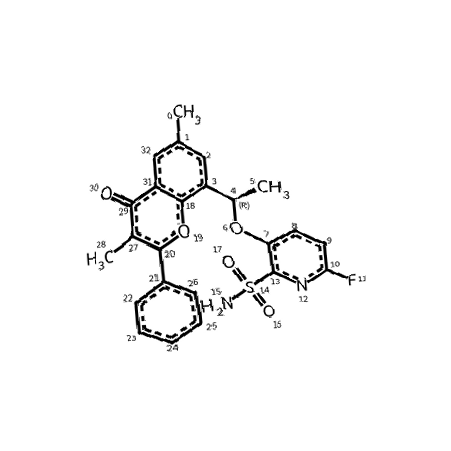 Cc1cc([C@@H](C)Oc2ccc(F)nc2S(N)(=O)=O)c2oc(-c3ccccc3)c(C)c(=O)c2c1